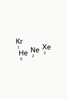 [He].[Kr].[Ne].[Xe]